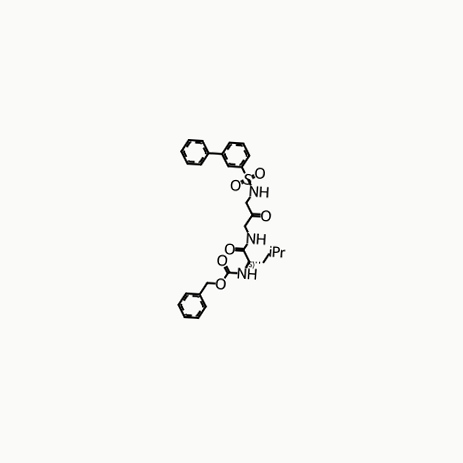 CC(C)C[C@H](NC(=O)OCc1ccccc1)C(=O)NCC(=O)CNS(=O)(=O)c1cccc(-c2ccccc2)c1